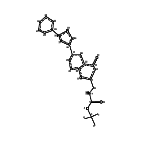 CC(C)(C)OC(=O)NCc1cc(=O)c2cc(-c3cn(-c4ccccc4)nn3)ccc2o1